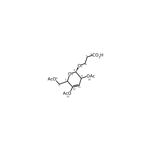 CC(=O)OCC1O[C@@H](OCCC(=O)O)C(OC(C)=O)C=C1OC(C)=O